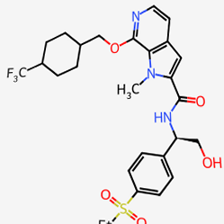 CCS(=O)(=O)c1ccc([C@H](CO)NC(=O)c2cc3ccnc(OCC4CCC(C(F)(F)F)CC4)c3n2C)cc1